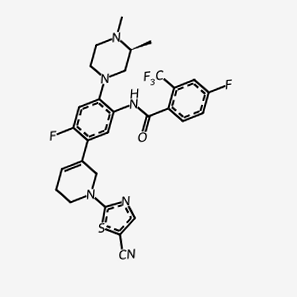 C[C@H]1CN(c2cc(F)c(C3=CCCN(c4ncc(C#N)s4)C3)cc2NC(=O)c2ccc(F)cc2C(F)(F)F)CCN1C